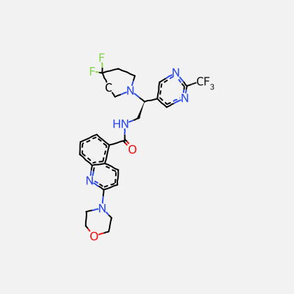 O=C(NC[C@H](c1cnc(C(F)(F)F)nc1)N1CCC(F)(F)CC1)c1cccc2nc(N3CCOCC3)ccc12